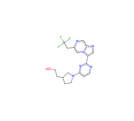 OCCC1CCN(c2ccnc(-c3cnc4cnc(CC(F)(F)F)cn34)n2)C1